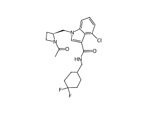 CC(=O)N1CC[C@H]1Cn1cc(C(=O)NCC2CCC(F)(F)CC2)c2c(Cl)cccc21